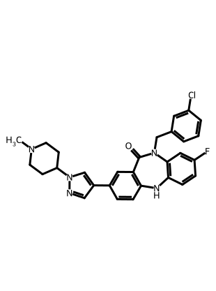 CN1CCC(n2cc(-c3ccc4c(c3)C(=O)N(Cc3cccc(Cl)c3)c3cc(F)ccc3N4)cn2)CC1